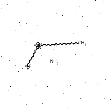 CCCCCCCCCCCCCCCCCCCCOS(=O)(=O)C(F)CCCCCCCCCCC(F)(F)F.N